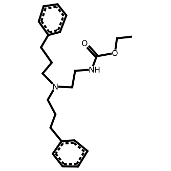 CCOC(=O)NCCN(CCCc1ccccc1)CCCc1ccccc1